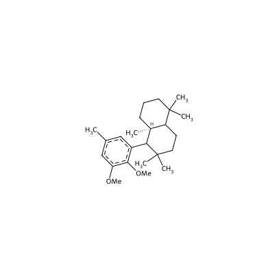 COc1cc(C)cc(C2C(C)(C)CCC3C(C)(C)CCC[C@@]32C)c1OC